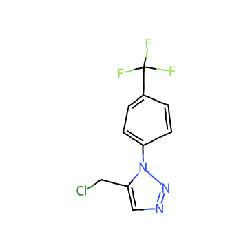 FC(F)(F)c1ccc(-n2nncc2CCl)cc1